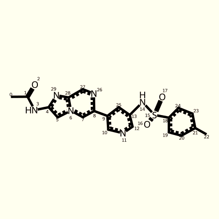 CC(=O)Nc1cn2cc(-c3cncc(NS(=O)(=O)c4ccc(C)cc4)c3)ncc2n1